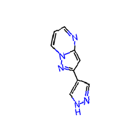 c1cnc2cc(-c3cn[nH]c3)nn2c1